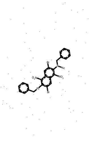 CC(=O)N(Cc1ccccc1)c1c(Br)cc2c([N+](=O)[O-])[c]([Ac][CH2]c3ccccc3)c(Br)cc2c1[N+](=O)[O-]